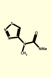 CNC(=O)N(C)c1csnn1